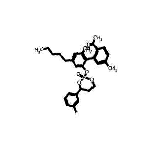 C=C(C)c1ccc(C)cc1-c1c(O)cc(CCCCC)cc1OP1(=O)OCCC(c2cccc(F)c2)O1